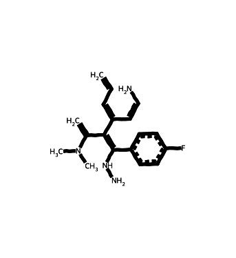 C=C/C=C(\C=C/N)C(/C(=C)N(C)C)=C(/NN)c1ccc(F)cc1